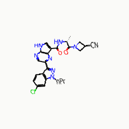 CCCn1nc(-c2cnc3[nH]cc(C(=O)N[C@H](C)C(=O)N4CC(C#N)C4)c3n2)c2ccc(Cl)cc21